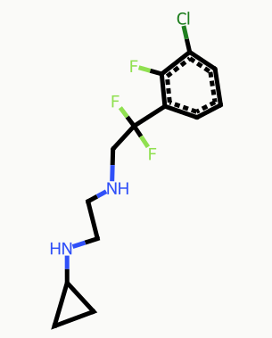 Fc1c(Cl)cccc1C(F)(F)CNCCNC1CC1